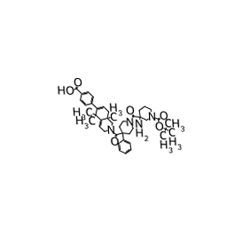 CC(C)(C)OC(=O)N1CCCC(N)(C(=O)N2CCC(C(=O)N3CC=C4C(C)(C)C(c5ccc(C(=O)O)cc5)=CC[C@]4(C)C3)(c3ccccc3)CC2)C1